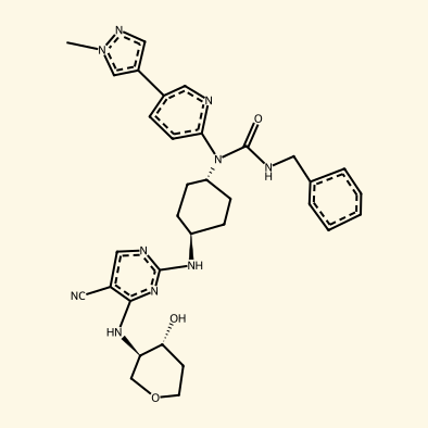 Cn1cc(-c2ccc(N(C(=O)NCc3ccccc3)[C@H]3CC[C@H](Nc4ncc(C#N)c(N[C@@H]5COCC[C@H]5O)n4)CC3)nc2)cn1